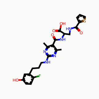 Cc1nc(NCCCc2cc(O)ccc2F)nc(C)c1C(=O)NC(CNC(=O)c1cccs1)C(=O)O